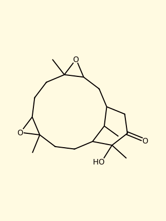 CC1C2CC(=O)C(C)(O)C1CCC1(C)OC1CCC1(C)OC1C2